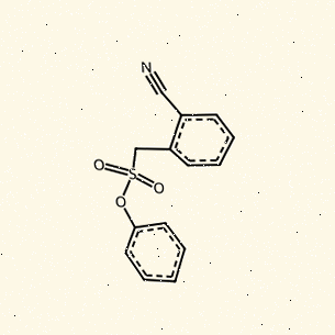 N#Cc1ccccc1CS(=O)(=O)Oc1ccccc1